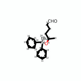 CC(CCCC=O)O[Si](c1ccccc1)(c1ccccc1)C(C)(C)C